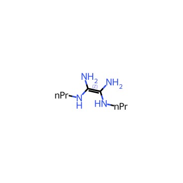 CCCN/C(N)=C(/N)NCCC